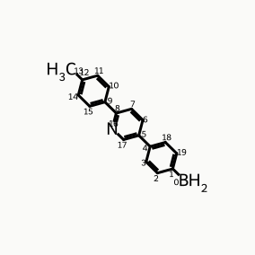 Bc1ccc(-c2ccc(-c3ccc(C)cc3)nc2)cc1